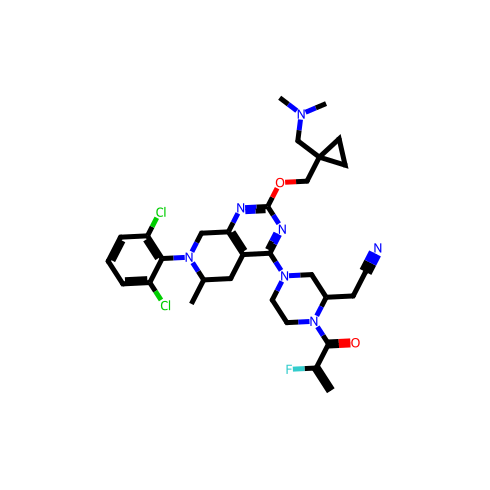 C=C(F)C(=O)N1CCN(c2nc(OCC3(CN(C)C)CC3)nc3c2CC(C)N(c2c(Cl)cccc2Cl)C3)CC1CC#N